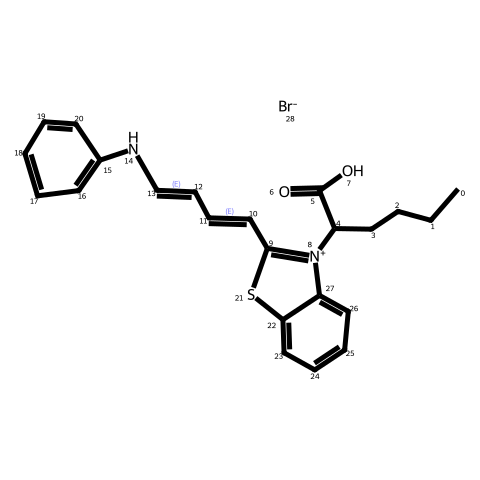 CCCCC(C(=O)O)[n+]1c(/C=C/C=C/Nc2ccccc2)sc2ccccc21.[Br-]